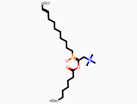 CCCCCCCCC=CCCCCCCCC/[P+]([O-])=C(\C[N+](C)(C)C)OC(=O)CCCCCCCCCCCCCCC